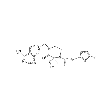 CCO[C@@]1(C)C(=O)N(Cc2ccc3c(N)ncnc3c2)CCN1C(=O)C=Cc1ccc(Cl)s1